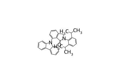 CC(C)c1cccc(C(C)C)c1N1Cc2cccc(-n3c4ccccc4c4ccccc43)c2C1=O